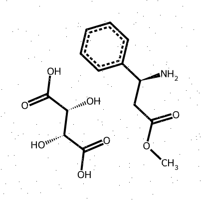 COC(=O)C[C@H](N)c1ccccc1.O=C(O)[C@H](O)[C@@H](O)C(=O)O